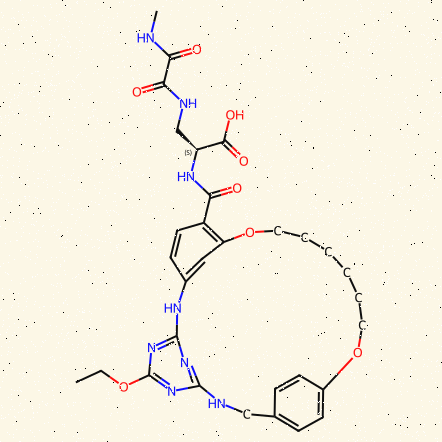 CCOc1nc2nc(n1)Nc1ccc(C(=O)N[C@@H](CNC(=O)C(=O)NC)C(=O)O)c(c1)OCCCCCCOc1ccc(cc1)CN2